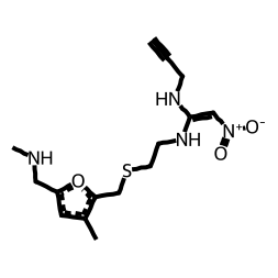 C#CCN/C(=C/[N+](=O)[O-])NCCSCc1oc(CNC)cc1C